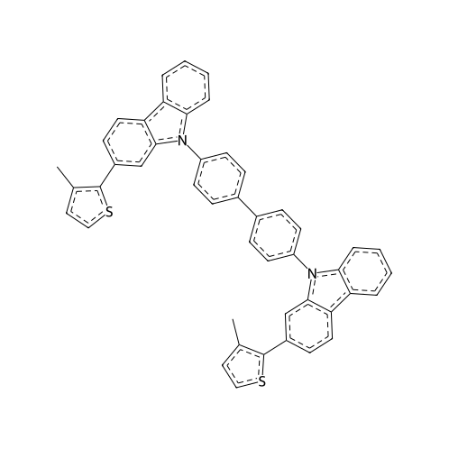 Cc1ccsc1-c1ccc2c3ccccc3n(-c3ccc(-c4ccc(-n5c6ccccc6c6ccc(-c7sccc7C)cc65)cc4)cc3)c2c1